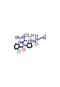 CC(c1nc2cccc(Cl)c2c(=O)n1-c1cccc(NC(=O)NCCN(C)C)c1)N(C(=O)O)C(C)(C)C